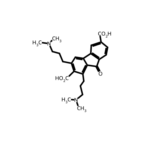 CN(C)CCCc1cc2c(c(CCCN(C)C)c1C(=O)O)C(=O)c1ccc(C(=O)O)cc1-2